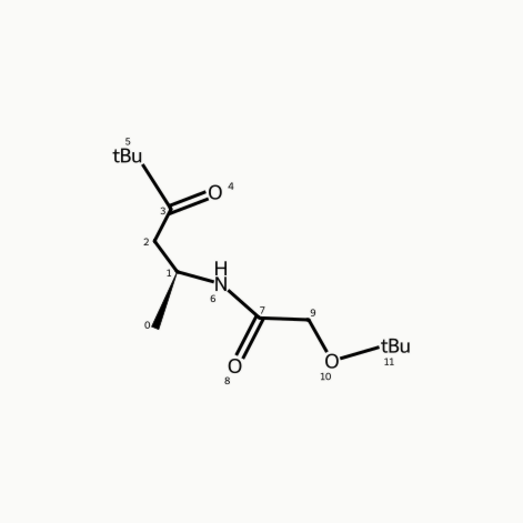 C[C@@H](CC(=O)C(C)(C)C)NC(=O)COC(C)(C)C